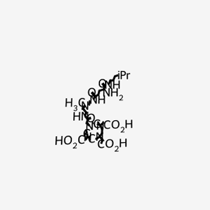 CC(C)CCCNC(=O)[C@H](N)CCC(=O)NCCN(C)CCNC(=O)CN1CCN(CC(=O)O)CCN(CC(=O)O)CCN(CC(=O)O)CC1